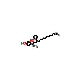 CCCCCCCCCCCC(CCC(C)c1ccc(O)cc1)c1ccccc1O